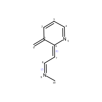 C=c1cccn/c1=C/C=N\C